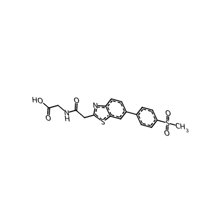 CS(=O)(=O)c1ccc(-c2ccc3nc(CC(=O)NCC(=O)O)sc3c2)cc1